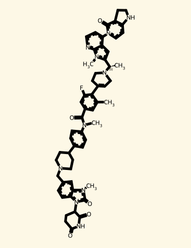 Cc1cc(C(=O)N(C)c2ccc(C3CCN(Cc4ccc5c(c4)n(C)c(=O)n5C4CCC(=O)NC4=O)CC3)cc2)cc(F)c1C1=CCN([C@@H](C)c2cc3c(-n4ccc5c(c4=O)CCN5)ccnc3n2C)CC1